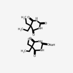 CCC1(CC)C(=O)NC(=O)NC1=O.CCC1(CC)C(=O)NC(=O)NC1=O.[NaH]